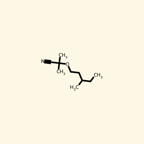 CCC(C)CCOC(C)(C)C#N